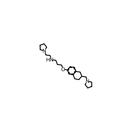 c1cc2c(cc1OCCCNCCN1CCCC1)CCC(CN1CCCC1)C2